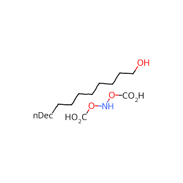 CCCCCCCCCCCCCCCCCCO.O=C(O)ONOC(=O)O